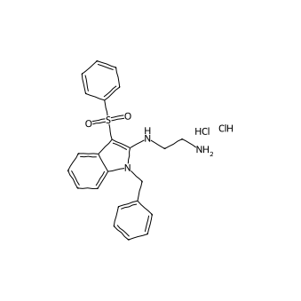 Cl.Cl.NCCNc1c(S(=O)(=O)c2ccccc2)c2ccccc2n1Cc1ccccc1